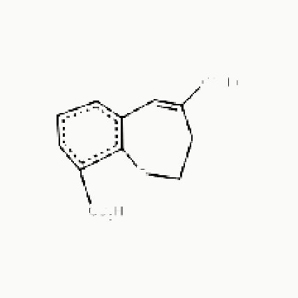 CCOC(=O)C1=Cc2cccc(C(=O)O)c2OCC1